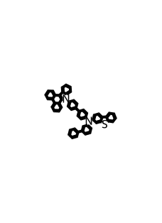 c1ccc(-c2cccc(N(c3ccc(-c4ccc(-n5c6ccccc6c6c7ccccc7c7ccccc7c65)cc4)cc3)c3ccc4c(c3)sc3ccccc34)c2)cc1